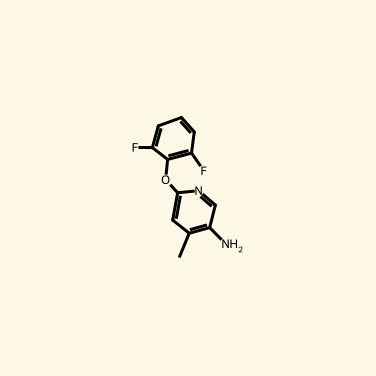 Cc1cc(Oc2c(F)cccc2F)ncc1N